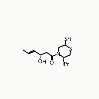 C/C=C/[C@@H](O)CC(=O)N1CC(S)SC[C@H]1C(C)C